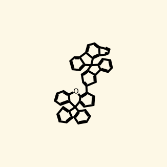 c1ccc(C2(c3ccccc3)c3ccccc3Oc3c(-c4ccc5c(c4)-c4ccccc4C54c5ccccc5-c5ccc6ccccc6c54)cccc32)cc1